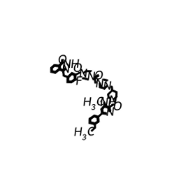 CCc1cccc(-c2cnc(C(=O)N3CCC(CN4CCN(CC(=O)N5CCN(C(=O)c6cc(Cc7n[nH]c(=O)c8ccccc78)ccc6F)CC5)CC4)CC3)c(NC)c2)c1